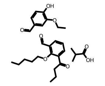 CC(C)C(=O)O.CCCCCOc1c(C=O)cccc1C(=O)CCC.CCOc1cc(C=O)ccc1O